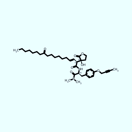 CC#CCOc1ccc(C[C@H](NC(=O)[C@@H](C=CCCCCCCC(=O)CCCCCCC)[C@@]2(O)CCOC2=O)C(=O)N(C)C)cc1